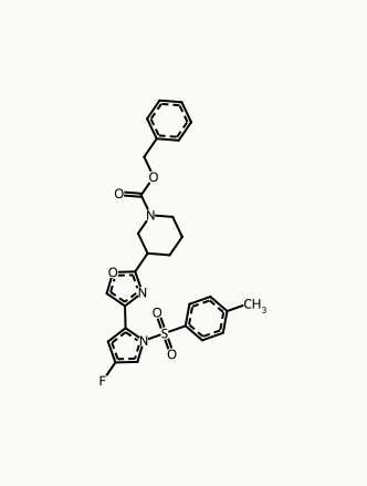 Cc1ccc(S(=O)(=O)n2cc(F)cc2-c2coc(C3CCCN(C(=O)OCc4ccccc4)C3)n2)cc1